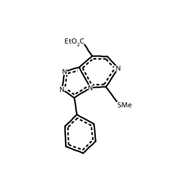 CCOC(=O)c1cnc(SC)n2c(-c3ccccc3)nnc12